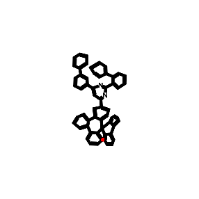 c1ccc(-c2cccc(-c3cc(-c4ccc5c(c4)-c4ccccc4-c4ccccc4C54c5ccccc5-c5ccccc54)nc(-c4ccccc4-c4ccccc4)n3)c2)cc1